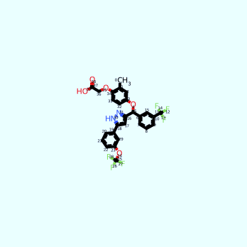 Cc1cc(OC(c2cccc(C(F)(F)F)c2)c2cc(-c3cccc(OC(F)(F)F)c3)[nH]n2)ccc1OCC(=O)O